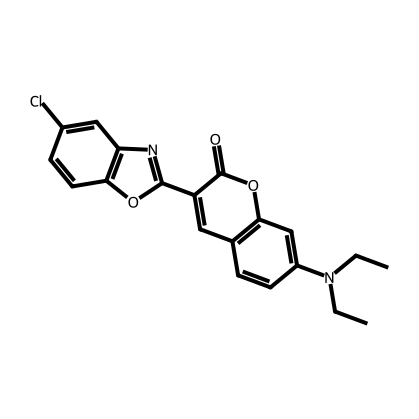 CCN(CC)c1ccc2cc(-c3nc4cc(Cl)ccc4o3)c(=O)oc2c1